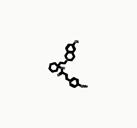 COc1ccc(C=CC(=O)NC2(CCN3CCc4cc(C#N)ccc4C3)CCCCC2)cc1